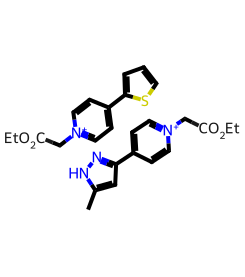 CCOC(=O)C[n+]1ccc(-c2cc(C)[nH]n2)cc1.CCOC(=O)C[n+]1ccc(-c2cccs2)cc1